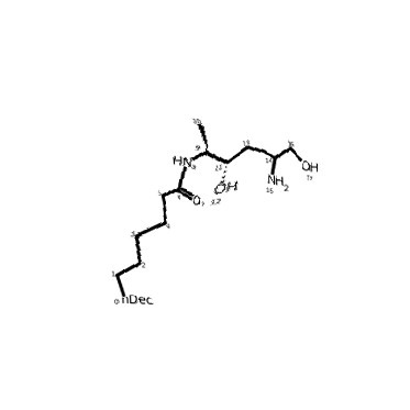 CCCCCCCCCCCCCCCC(=O)N[C@@H](C)[C@@H](O)CC(N)CO